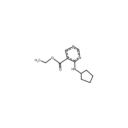 CCOC(=O)c1cncnc1NC1CCCC1